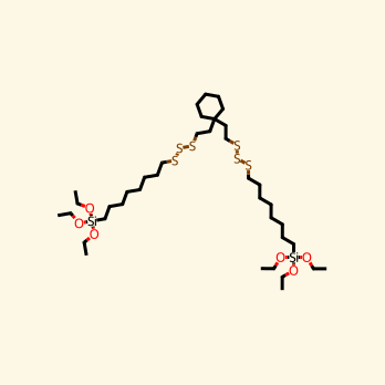 CCO[Si](CCCCCCCCSSSCCC1(CCSSSCCCCCCCC[Si](OCC)(OCC)OCC)CCCCC1)(OCC)OCC